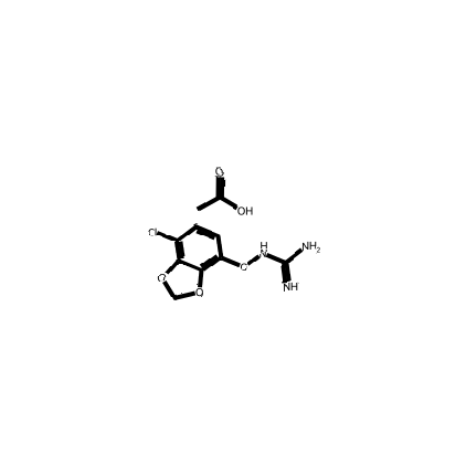 CC(=O)O.N=C(N)NOc1ccc(Cl)c2c1OCO2